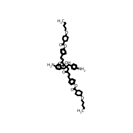 C=CCCCOC1CCC(C(=O)Oc2ccc(/C=C/C(=O)CC(Cc3ccc(N)cc3)(Cc3ccc(N)cc3)C(O)(O)C(=O)/C=C/c3ccc(OC(=O)C4CCC(OCCCC=C)CC4)cc3)cc2)CC1